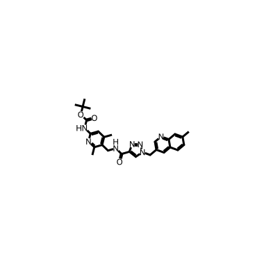 Cc1ccc2cc(Cn3cc(C(=O)NCc4c(C)cc(NC(=O)OC(C)(C)C)nc4C)nn3)cnc2c1